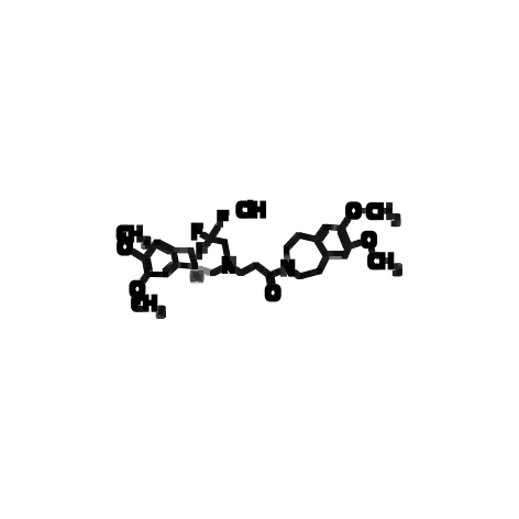 COc1cc2c(cc1OC)CCN(C(=O)CCN(C[C@H]1Cc3cc(OC)c(OC)cc31)CC(F)(F)F)CC2.Cl